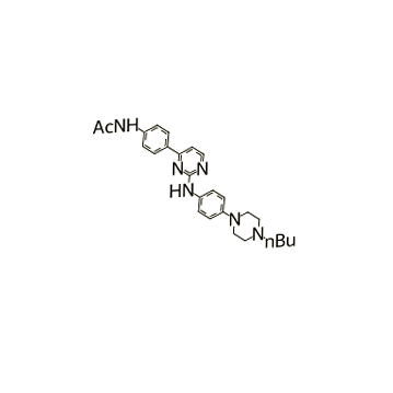 CCCCN1CCN(c2ccc(Nc3nccc(-c4ccc(NC(C)=O)cc4)n3)cc2)CC1